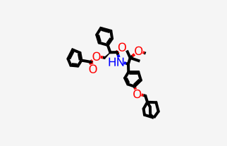 COC(C)(C)C(NC(=O)[C@@H](COC(=O)c1ccccc1)c1ccccc1)c1ccc(OCC23CCC(CC2)CC3)cc1